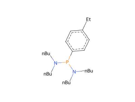 CCCCN(CCCC)P(c1ccc(CC)cc1)N(CCCC)CCCC